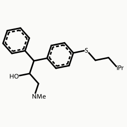 CNCC(O)C(c1ccccc1)c1ccc(SCCC(C)C)cc1